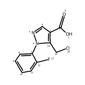 O=C(O)c1cnn(-c2ccccc2F)c1CCl